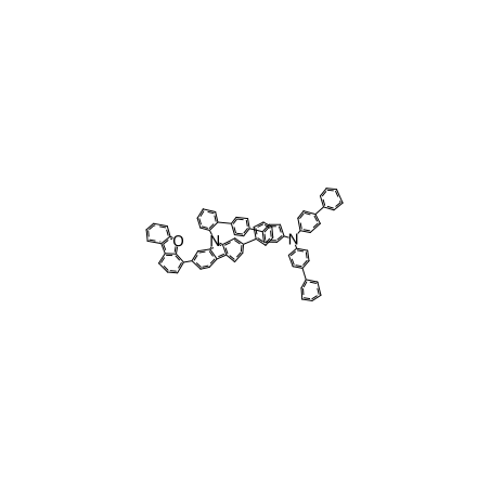 c1ccc(-c2ccc(N(c3ccc(-c4ccccc4)cc3)c3ccc(-c4ccc(-c5ccccc5-n5c6cc(-c7ccccc7)ccc6c6ccc(-c7cccc8c7oc7ccccc78)cc65)cc4)cc3)cc2)cc1